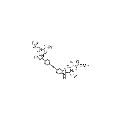 COC(=O)N[C@H](C(=O)N1CC2(CC2)C[C@H]1c1nc2cc(C#Cc3ccc(-c4c[nH]c([C@@H]5C[C@]6(CN5C(=O)[C@@H](C)C(C)C)CC6(F)F)n4)cc3)ccc2[nH]1)C(C)C